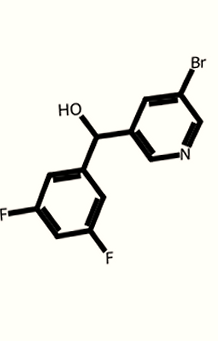 OC(c1cc(F)cc(F)c1)c1cncc(Br)c1